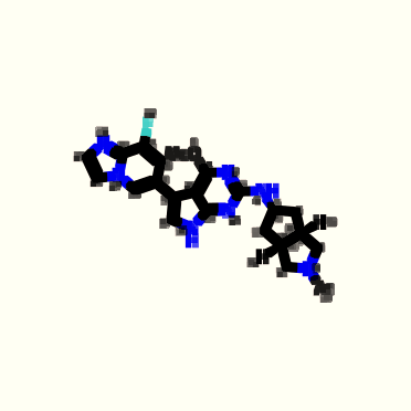 COc1nc(N[C@H]2C[C@@H]3CN(C(C)=O)C[C@@H]3C2)nc2[nH]cc(-c3cc(F)c4nccn4c3)c12